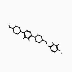 CCOc1ccc(OCC2CCC(c3ccc(C4CCC(CO)CC4)c(F)c3F)CC2)c(F)c1F